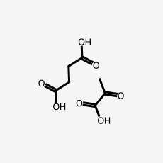 CC(=O)C(=O)O.O=C(O)CCC(=O)O